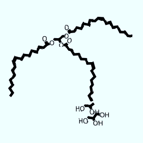 CC(O)CO.CCCCCCCC/C=C\CCCCCCCC(=O)OCC(COC(=O)CCCCCCC/C=C\CCCCCCCC)OC(=O)CCCCCCC/C=C\CCCCCCCC.OCC(O)CO